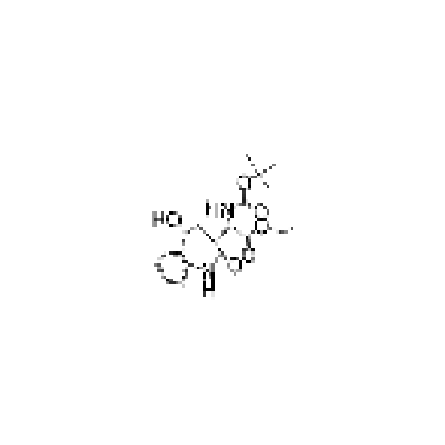 CCOC(=O)C(NC(=O)OC(C)(C)C)C1CC(O)c2ccccc2NC1=O